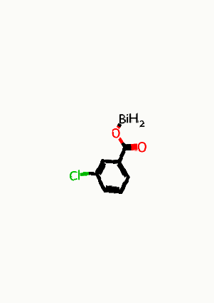 O=C([O][BiH2])c1cccc(Cl)c1